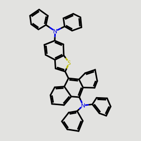 c1ccc(N(c2ccccc2)c2ccc3cc(-c4c5ccccc5c(N(c5ccccc5)c5ccccc5)c5ccccc45)sc3c2)cc1